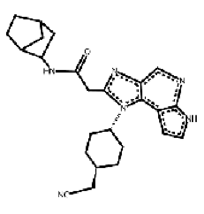 N#CC[C@H]1CC[C@H](n2c(CC(=O)NC3CC4CCC3C4)nc3cnc4[nH]ccc4c32)CC1